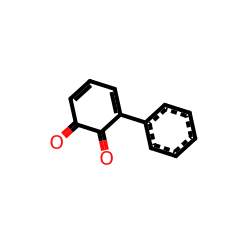 O=C1C=CC=C(c2ccccc2)C1=O